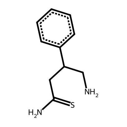 NCC(CC(N)=S)c1ccccc1